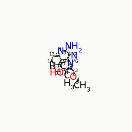 CCOC[C@H](n1cnc2c(N)nc3ccccc3c21)C(C)(C)O